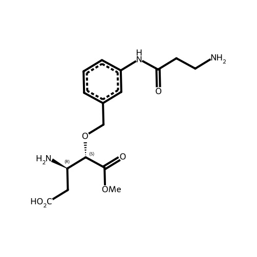 COC(=O)[C@@H](OCc1cccc(NC(=O)CCN)c1)[C@H](N)CC(=O)O